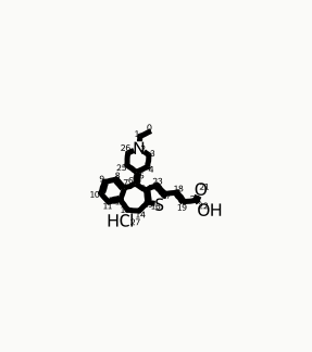 CCN1CCC(=C2c3ccccc3CCc3sc(/C=C/C(=O)O)cc32)CC1.Cl